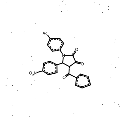 CC(=O)c1ccc(N2C(=O)C(=O)C(C(=O)c3ccccc3)C2c2ccc([N+](=O)[O-])cc2)cc1